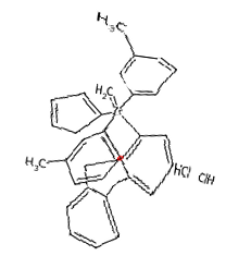 Cl.Cl.[CH2]=[Zr]([C]1=CC=CC1)([c]1cccc(C)c1)([c]1cccc(C)c1)[c]1cccc2c1Cc1ccccc1-2